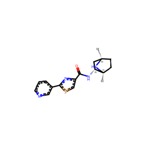 O=C(N[C@@H]1C[C@H]2CC[C@@H]1N2)c1csc(-c2cccnc2)n1